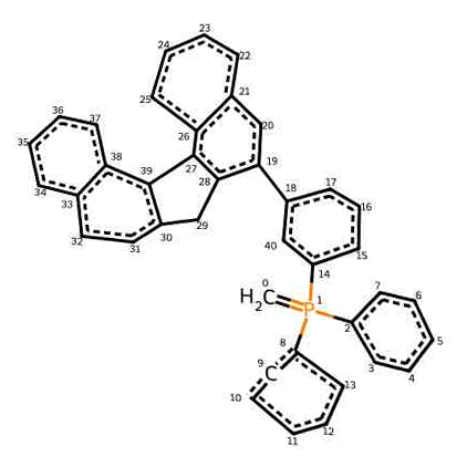 C=P(c1ccccc1)(c1ccccc1)c1cccc(-c2cc3ccccc3c3c2Cc2ccc4ccccc4c2-3)c1